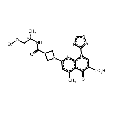 CCOC[C@H](C)NC(=O)C1CN(c2cc(C)c3c(=O)c(C(=O)O)cn(-c4ncns4)c3n2)C1